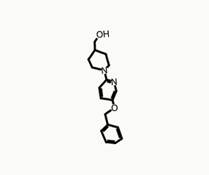 OCC1CCN(c2ccc(OCc3ccccc3)cn2)CC1